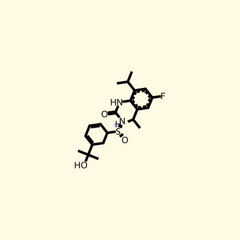 CC(C)c1cc(F)cc(C(C)C)c1NC(=O)/N=[SH](=O)\C1C=CC=C(C(C)(C)O)C1